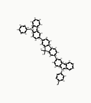 Cc1ccc(-n2c3ccccc3c3cc(-c4ccc5c(c4)C(C)(C)c4cc(-c6ccc7c(c6)c6ccccc6n7-c6ccccc6)ccc4-5)ccc32)cc1